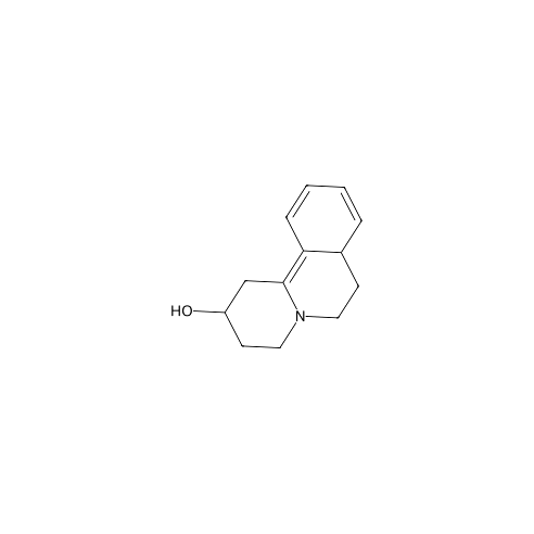 OC1CCN2CCC3C=CC=CC3=C2C1